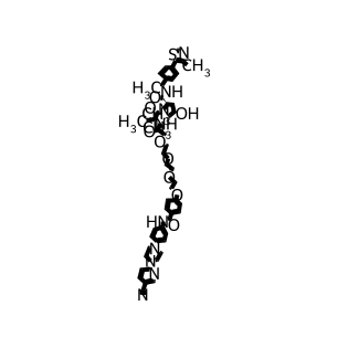 Cc1ncsc1-c1ccc([C@H](C)NC(=O)[C@@H]2C[C@@H](O)CN2C(=O)[C@@H](NC(=O)COCCOCCOCCOc2ccc(C(=O)Nc3ccc(N4CCN(c5ccc(C#N)cn5)CC4)cc3)cc2)C(C)(C)C)cc1